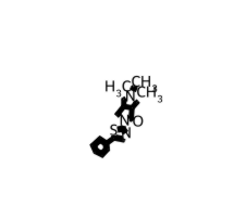 CC(C)(C)N1CC2CN(c3ncc(-c4ccccc4)s3)C(=O)C2C1